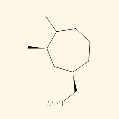 CNC[C@@H]1CCCC(C)[C@H](C)C1